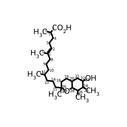 C/C(=C\CCC(C)C(=O)O)CCCC(C)CCCC1(C)CCC2CC(O)C(C)C(C)C2O1